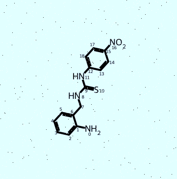 Nc1ccccc1CNC(=S)Nc1ccc([N+](=O)[O-])cc1